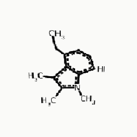 CCc1cccc2c1c(C)c(C)n2C.I